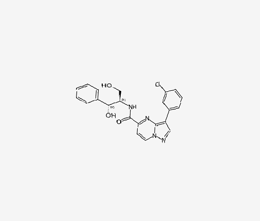 O=C(N[C@H](CO)[C@H](O)c1ccccc1)c1ccn2ncc(-c3cccc(Cl)c3)c2n1